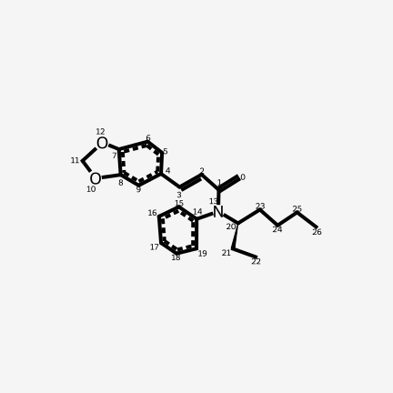 C=C(/C=C/c1ccc2c(c1)OCO2)N(c1ccccc1)[C@H](CC)CCCC